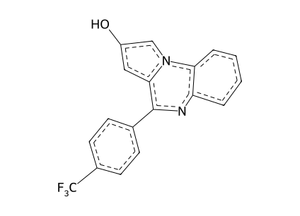 Oc1cc2c(-c3ccc(C(F)(F)F)cc3)nc3ccccc3n2c1